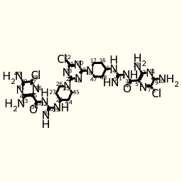 N=C(NC(=O)c1nc(Cl)c(N)nc1N)NC1CCN(c2nc(Cl)nc(N3CCC(NC(=N)NC(=O)c4nc(Cl)c(N)nc4N)CC3)n2)CC1